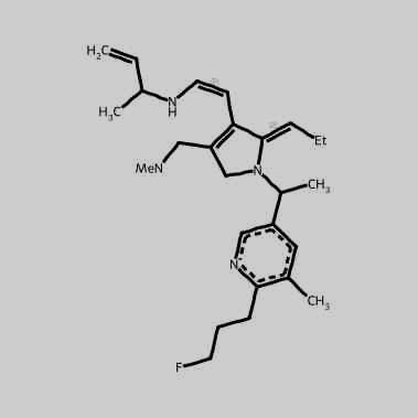 C=CC(C)N/C=C\C1=C(CNC)CN(C(C)c2cnc(CCCF)c(C)c2)/C1=C\CC